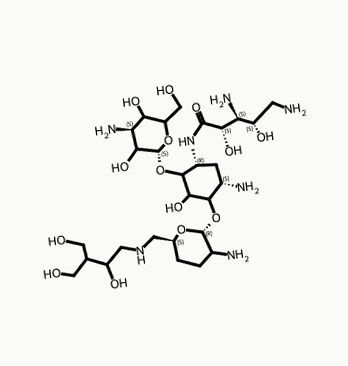 NC[C@H](O)[C@H](N)[C@H](O)C(=O)N[C@@H]1C[C@H](N)C(O[C@H]2O[C@H](CNCC(O)C(CO)CO)CCC2N)C(O)C1O[C@H]1OC(CO)C(O)[C@H](N)C1O